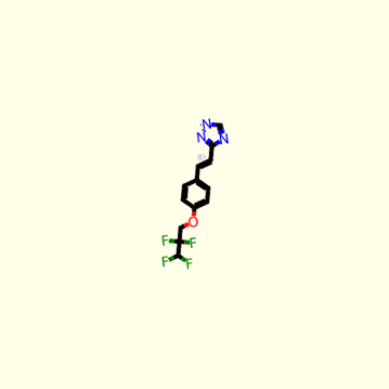 FC(F)C(F)(F)COc1ccc(/C=C/C2=N[N]C=N2)cc1